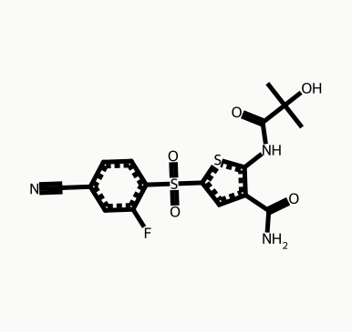 CC(C)(O)C(=O)Nc1sc(S(=O)(=O)c2ccc(C#N)cc2F)cc1C(N)=O